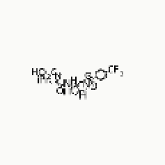 CC(C)C[C@@H](C(=O)N[C@H]1CC[C@H]2CN(S(=O)(=O)c3ccc(C(F)(F)F)cc3)C[C@H]21)N(C)C(=O)O